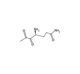 CC(=O)C(=O)[C@@H](N)CCC(N)=O